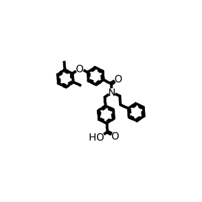 Cc1cccc(C)c1Oc1ccc(C(=O)N(CCc2ccccc2)Cc2ccc(C(=O)O)cc2)cc1